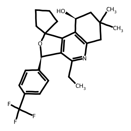 CCc1nc2c(c3c1[C@@H](c1ccc(C(F)(F)F)cc1)OC31CCCC1)[C@@H](O)CC(C)(C)C2